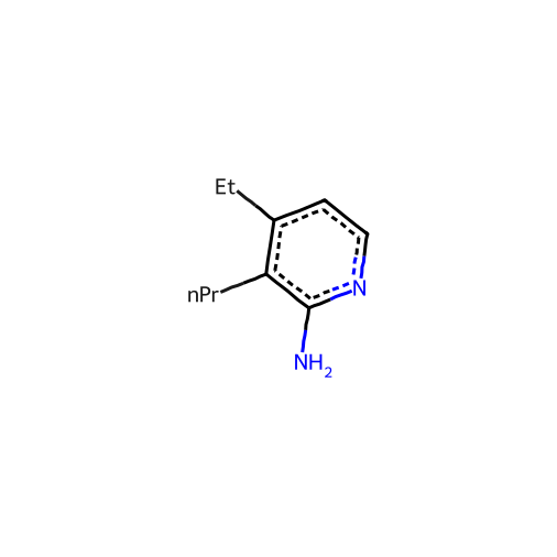 CCCc1c(CC)ccnc1N